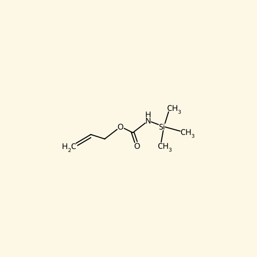 C=CCOC(=O)N[Si](C)(C)C